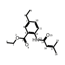 CCOC(=O)c1cc(CC)ccc1NC(=O)C=C(C)C